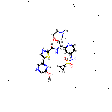 CCOc1cncc(-c2cnc(C(=O)N[C@@H](c3cc(NS(=O)(=O)C4CC4)ccn3)[C@@H]3CN(C)CCO3)s2)n1